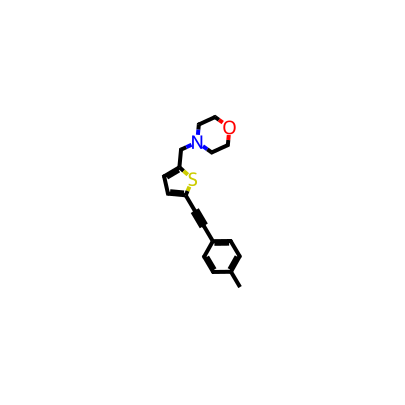 Cc1ccc(C#Cc2ccc(CN3CCOCC3)s2)cc1